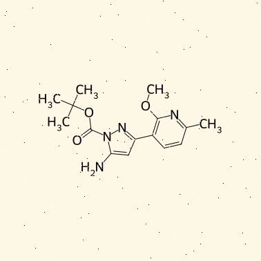 COc1nc(C)ccc1-c1cc(N)n(C(=O)OC(C)(C)C)n1